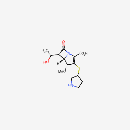 CO[C@H]1C(S[C@H]2CCNC2)=C(C(=O)O)N2C(=O)[C@H]([C@@H](C)O)[C@@H]12